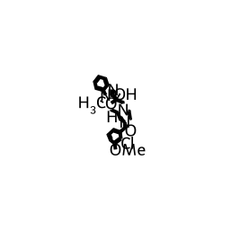 COc1cccc(C(=O)N2CCN3C[C@@](O)(c4nc5ccccc5n4C)OC[C@@H]3C2)c1Cl